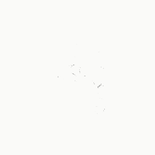 CC1CCC[C@H]1COc1nc(C(=O)O)c(N)c(N2CCN(C(=O)OCc3ccccc3)[C@@H](CC#N)C2)n1